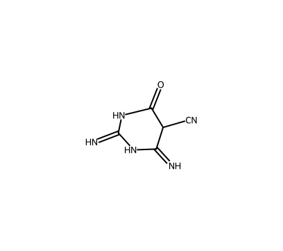 N#CC1C(=N)NC(=N)NC1=O